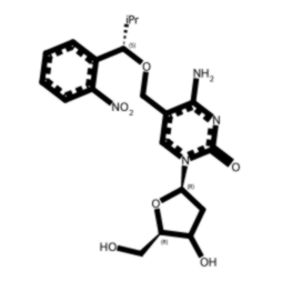 CC(C)[C@H](OCc1cn([C@H]2CC(O)[C@@H](CO)O2)c(=O)nc1N)c1ccccc1[N+](=O)[O-]